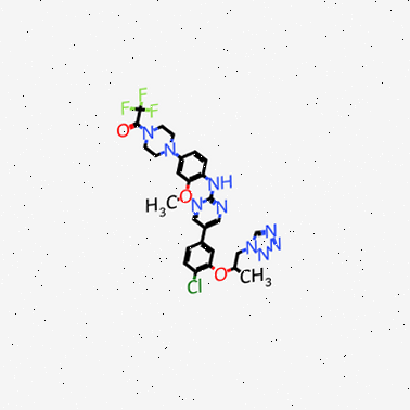 COc1cc(N2CCN(C(=O)C(F)(F)F)CC2)ccc1Nc1ncc(-c2ccc(Cl)c(OC(C)Cn3cnnn3)c2)cn1